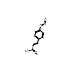 O=NOc1ccc(/C=C/C(=O)O)cc1